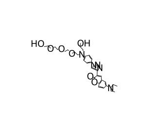 CCN(CC)c1ccc2oc(=O)c(-c3cn(-c4ccc(N(CCO)CCOCCOCCOCCO)cc4)nn3)cc2c1